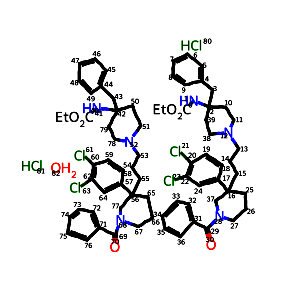 CCOC(=O)NC1(Cc2ccccc2)CCN(CCCC2(c3ccc(Cl)c(Cl)c3)CCCN(C(=O)c3ccccc3)C2)CC1.CCOC(=O)NC1(Cc2ccccc2)CCN(CCCC2(c3ccc(Cl)c(Cl)c3)CCCN(C(=O)c3ccccc3)C2)CC1.Cl.Cl.O